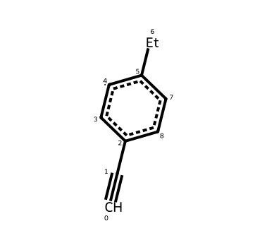 C#Cc1c[c]c(CC)cc1